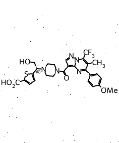 COc1ccc(-c2nc3c(C(=O)N4CCN([C@H](CO)c5ccc(C(=O)O)s5)CC4)cnn3c(C(F)(F)F)c2C)cc1